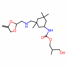 C=C1COC(CNCC2(C)CC(NC(=O)OCC(C)CO)CC(C)(C)C2)O1